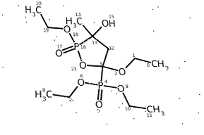 CCOC1(P(=O)(OCC)OCC)CC(C)(O)P(=O)(OCC)O1